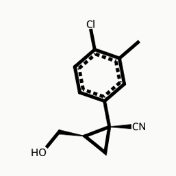 Cc1cc([C@]2(C#N)C[C@H]2CO)ccc1Cl